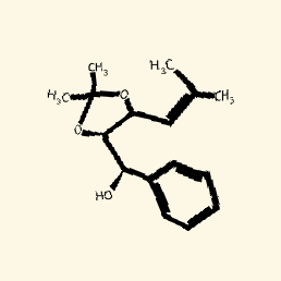 CC(C)=CC1OC(C)(C)O[C@@H]1[C@H](O)c1ccccc1